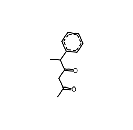 CC(=O)CC(=O)C(C)c1ccccc1